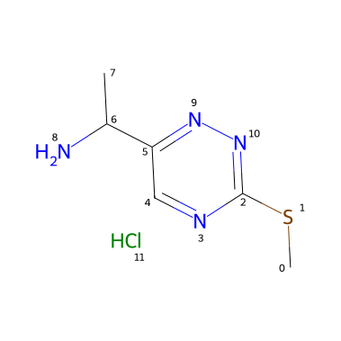 CSc1ncc(C(C)N)nn1.Cl